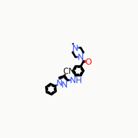 CN1CCN(C(=O)c2ccc(Nc3nn(-c4ccccc4)cc3C#N)cc2)CC1